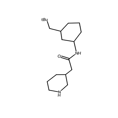 CC(C)(C)CC1CCCC(NC(=O)CC2CCCNC2)C1